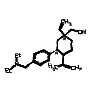 C=C[C@]1(CO)CCC(C(=C)C)[C@H](c2ccc(CN(CC)CC)cc2)C1